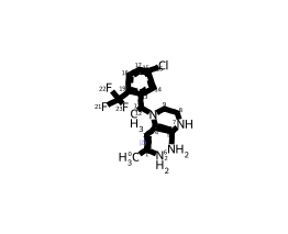 C/C(N)=C/C1=C(N)NCCN1C(C)c1cc(Cl)ccc1C(F)(F)F